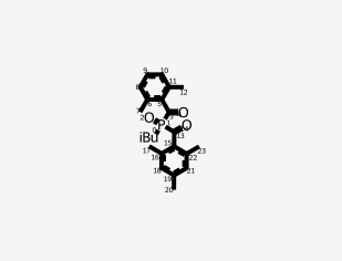 CCC(C)P(=O)(C(=O)c1c(C)cccc1C)C(=O)c1c(C)cc(C)cc1C